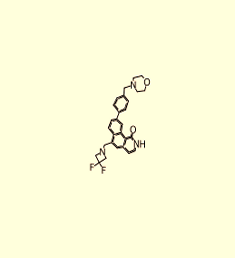 O=c1[nH]ccc2cc(CN3CC(F)(F)C3)c3ccc(-c4ccc(CN5CCOCC5)cc4)cc3c12